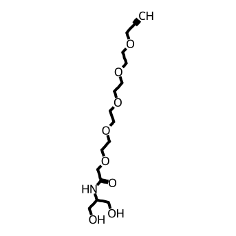 C#CCOCCOCCOCCOCCOCC(=O)NC(CO)CO